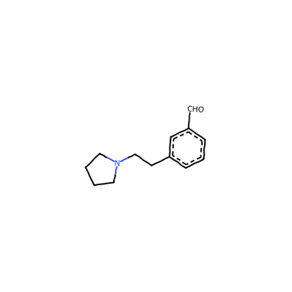 O=Cc1cccc(CCN2CCCC2)c1